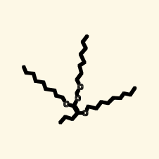 CCCCCCCCCOC(CCC)=C(OCCCCCCCCC)OCOCCCCCCCC